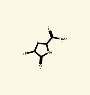 COC(=O)C1CC(F)C(=O)N1